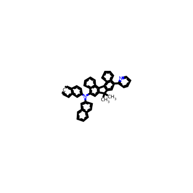 CC1(C)c2cc(-c3ccccn3)c3ccccc3c2-c2c1cc(N(c1ccc3ccccc3c1)c1ccc3ccccc3c1)c1ccccc21